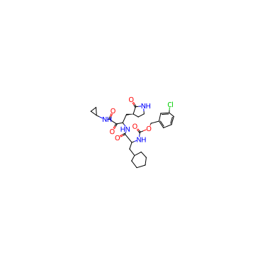 O=C(NC(CC1CCCCC1)C(=O)NC(C[C@@H]1CCNC1=O)C(=O)C(=O)NC1CC1)OCc1cccc(Cl)c1